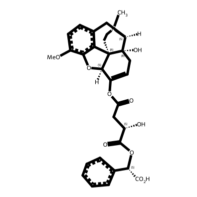 COc1ccc2c3c1O[C@@H]1C(OC(=O)C[C@H](O)C(=O)O[C@H](C(=O)O)c4ccccc4)=CC[C@]4(O)[C@H](C2)N(C)CC[C@@]314